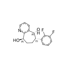 O[C@@H]1CC[C@@H](c2cccc(F)c2F)[C@@H](O)c2cccnc21